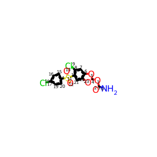 NC(=O)OC1Oc2cc(Cl)c(S(=O)(=O)c3ccc(Cl)cc3)cc2O1